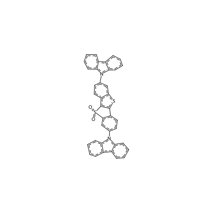 O=S1(=O)c2cc(-n3c4ccccc4c4ccccc43)ccc2-c2sc3cc(-n4c5ccccc5c5ccccc54)ccc3c21